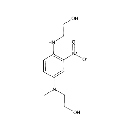 CN(CCO)c1ccc(NCCO)c([N+](=O)[O-])c1